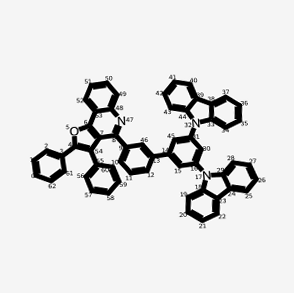 c1ccc(-c2oc3c(c(-c4cccc(-c5cc(-n6c7ccccc7c7ccccc76)cc(-n6c7ccccc7c7ccccc76)c5)c4)nc4ccccc43)c2-c2ccccc2)cc1